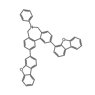 c1ccc(N2Cc3ccc(-c4ccc5c(c4)oc4ccccc45)cc3-c3cc(-c4cccc5c4oc4ccccc45)ccc3C2)cc1